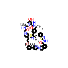 Cc1ncsc1-c1ccc(C(C)NC(=O)[C@@H]2C[C@@H](O)CN2C(=O)C(NC(=O)CN2CCC(CCCOc3cccc(-c4ccc(N5CCc6cccc(C(=O)Nc7nc8ccccc8s7)c6C5)nc4C(=O)O)c3C)CC2)C(C)(C)C)cc1